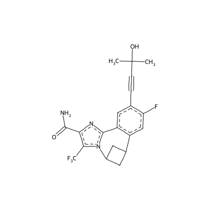 CC(C)(O)C#Cc1cc2c(cc1F)C1CC(C1)n1c-2nc(C(N)=O)c1C(F)(F)F